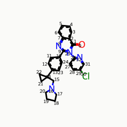 O=c1c2ccccc2nc(-c2ccc(C3(CN4CCCC4)CC3)cc2)n1-c1ccc(Cl)cn1